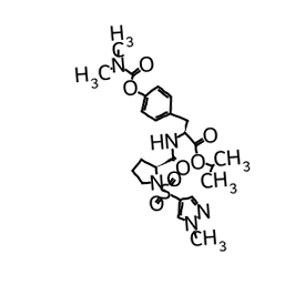 CC(C)OC(=O)[C@H](Cc1ccc(OC(=O)N(C)C)cc1)NC(=O)[C@@H]1CCCN1S(=O)(=O)c1cnn(C)c1